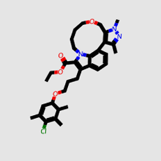 CCOC(=O)c1c(CCCOC2C=C(C)C(Cl)=C(C)C2C)c2cccc3c2n1CCCCOCc1c-3c(C)nn1C